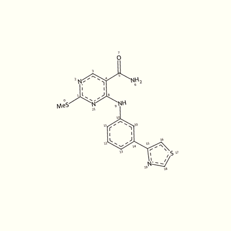 CSc1ncc(C(N)=O)c(Nc2cccc(-c3cscn3)c2)n1